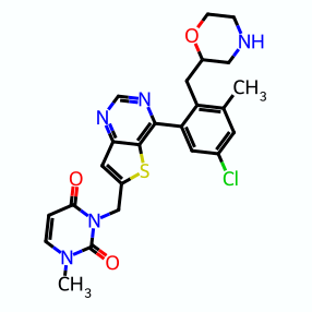 Cc1cc(Cl)cc(-c2ncnc3cc(Cn4c(=O)ccn(C)c4=O)sc23)c1CC1CNCCO1